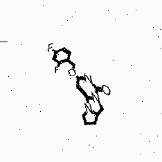 O=c1nc(OCc2ccc(F)cc2F)cc2n1CC1CCCN21